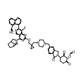 C#Cc1cccc2cccc(-c3ncc4c(N5CC6CCC(C5)N6)nc(OCC5(CN6CCN(Cc7ccc8c(c7)CN(C7CCC(=O)N(OC=O)C7=O)C8=O)CC6)CC5)nc4c3F)c12